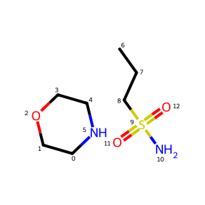 C1COCCN1.CCCS(N)(=O)=O